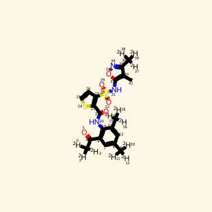 [2H]C([2H])([2H])C(=O)c1cc(C([2H])([2H])[2H])cc(C([2H])([2H])[2H])c1NC(=O)c1sccc1S(=O)(=O)Nc1onc(C([2H])([2H])[2H])c1C